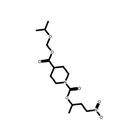 CC(C)OCOC(=O)C1CCN(C(=O)OC(C)CC[N+](=O)[O-])CC1